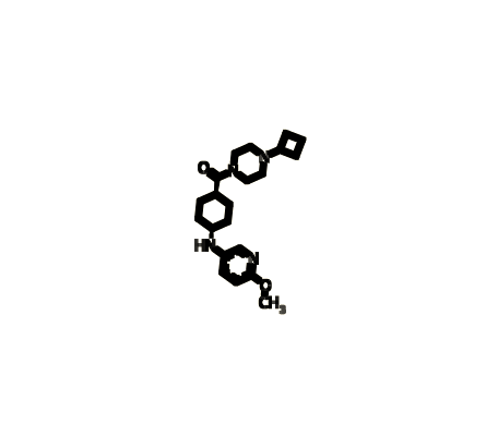 COc1ccc(N[C@H]2CC[C@H](C(=O)N3CCN(C4CCC4)CC3)CC2)cn1